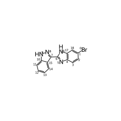 Brc1ccc2nc(-c3n[nH]c4ccccc34)[nH]c2c1